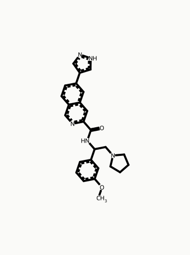 COc1cccc(C(CN2CCCC2)NC(=O)c2cc3cc(-c4cn[nH]c4)ccc3cn2)c1